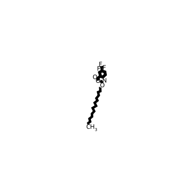 CCCCCCCCCCCCCCCCOc1nc2ccc(C(F)(F)F)cc2c(=O)o1